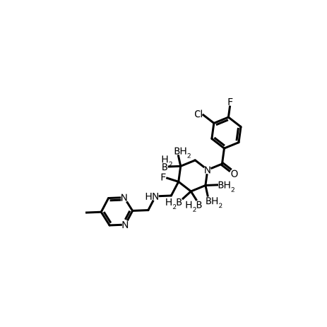 BC1(B)CN(C(=O)c2ccc(F)c(Cl)c2)C(B)(B)C(B)(B)C1(F)CNCc1ncc(C)cn1